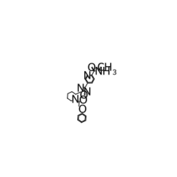 CNC(=O)c1ccc(-c2noc(C3CCCCN3C(=O)COc3ccccc3)n2)cn1